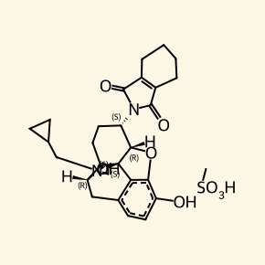 CS(=O)(=O)O.O=C1C2=C(CCCC2)C(=O)N1[C@H]1CC[C@@]2(O)[C@H]3Cc4ccc(O)c5c4[C@@]2(CCN3CC2CC2)[C@H]1O5